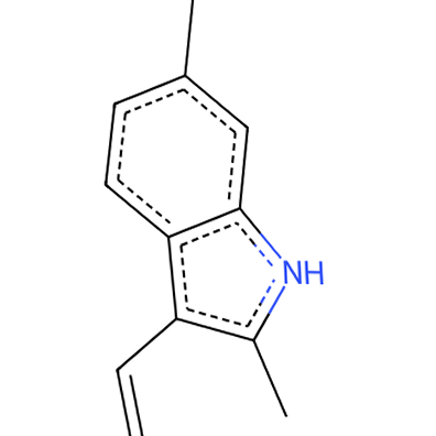 C=Cc1c(C)[nH]c2cc(C)ccc12